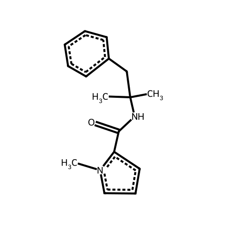 Cn1cccc1C(=O)NC(C)(C)Cc1ccccc1